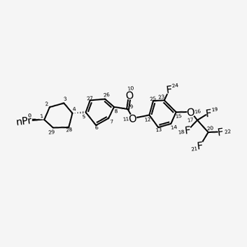 CCC[C@H]1CC[C@H](c2ccc(C(=O)Oc3ccc(OC(F)(F)C(F)F)c(F)c3)cc2)CC1